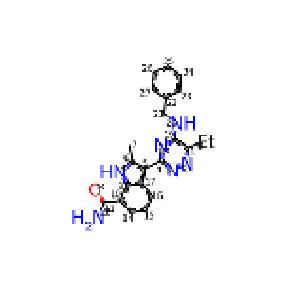 CCc1nnc(-c2c(C)[nH]c3c(C(N)=O)cccc23)nc1NCc1ccccc1